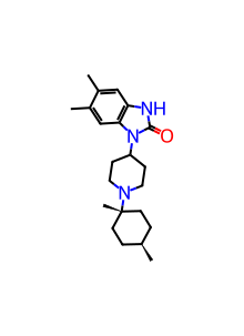 Cc1cc2[nH]c(=O)n(C3CCN([C@]4(C)CC[C@@H](C)CC4)CC3)c2cc1C